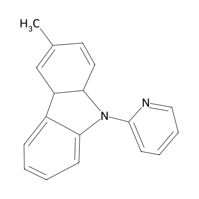 CC1=CC2c3ccccc3N(c3ccccn3)C2C=C1